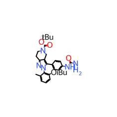 Cc1cccc(OCC(C)C)c1-n1nc2c(c1-c1ccc(NC(N)=O)cc1)CN(C(=O)OC(C)(C)C)CC2